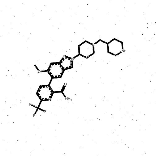 COc1cc2nn(C3CCN(CC4CCNCC4)CC3)cc2cc1-c1ccc(C(F)(F)F)nc1C(N)=O